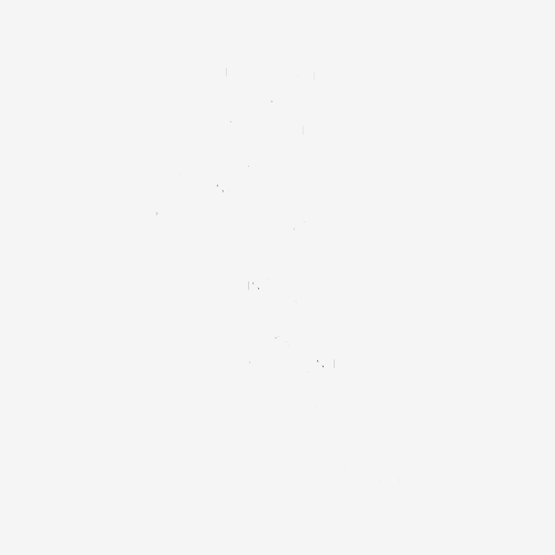 CC(C)(C)OC(=O)N1CCC[C@H]1C(=O)NCC(=O)NCCCO